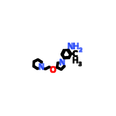 Cc1cc(N2CCC(OCCN3CCCCC3)C2)ccc1N